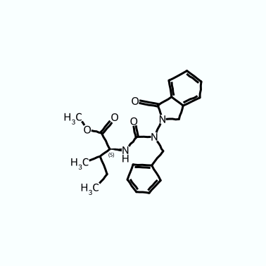 CCC(C)[C@H](NC(=O)N(Cc1ccccc1)N1Cc2ccccc2C1=O)C(=O)OC